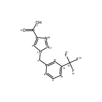 O=C(O)c1cn(Cc2cccc(C(F)(F)F)c2)nn1